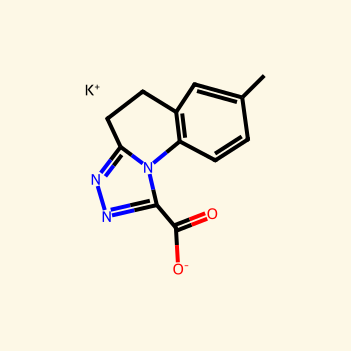 Cc1ccc2c(c1)CCc1nnc(C(=O)[O-])n1-2.[K+]